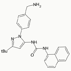 CC(C)(C)c1cc(NC(=O)Nc2cccc3ccccc23)n(-c2ccc(CN)cc2)n1